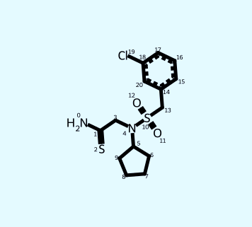 NC(=S)CN(C1CCCC1)S(=O)(=O)Cc1cccc(Cl)c1